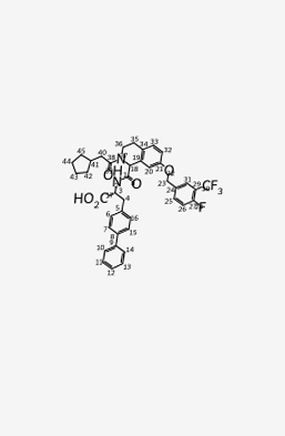 O=C(N[C@@H](Cc1ccc(-c2ccccc2)cc1)C(=O)O)C1c2cc(OCc3ccc(F)c(C(F)(F)F)c3)ccc2CCN1C(=O)CC1CCCC1